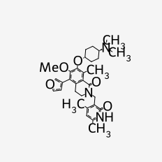 COc1c(O[C@H]2CC[C@H](N(C)C)CC2)c(C)c2c(c1-c1ccoc1)CCN(Cc1c(C)cc(C)[nH]c1=O)C2=O